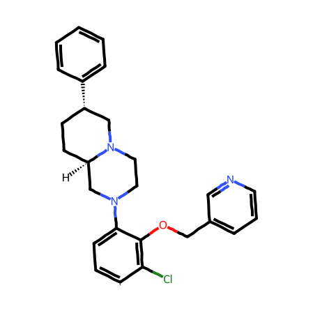 Clc1[c]ccc(N2CCN3C[C@@H](c4ccccc4)CC[C@@H]3C2)c1OCc1cccnc1